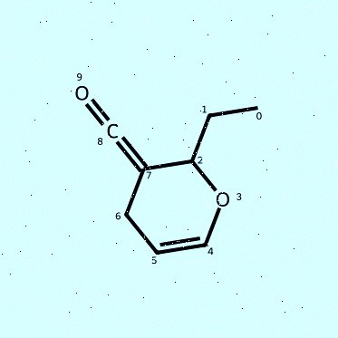 CCC1OC=CCC1=C=O